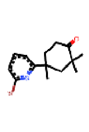 CC1(C)CC(C)(c2cccc(Br)n2)CCC1=O